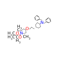 C[C@H]1CC(OCCC[C@H]2CC[C@H](N(Cc3ccccc3)Cc3ccccc3)CC2)C[C@H](C)N1C(=O)OC(C)(C)C